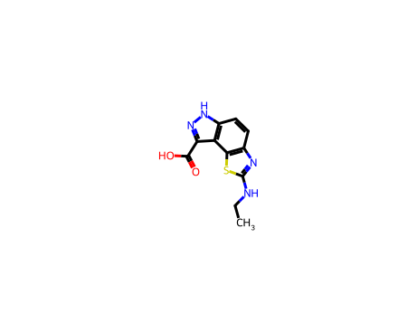 CCNc1nc2ccc3[nH]nc(C(=O)O)c3c2s1